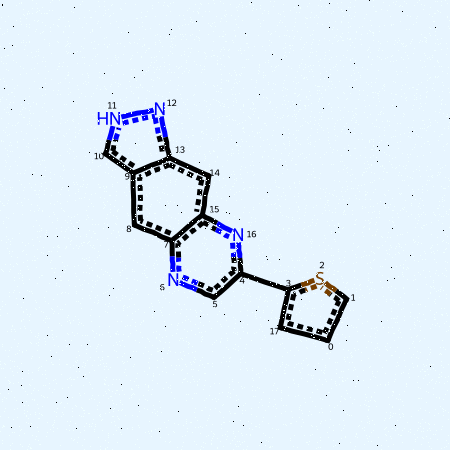 c1csc(-c2cnc3cc4c[nH]nc4cc3n2)c1